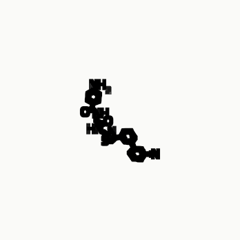 N#Cc1cccc(-c2cccc(-c3csc(NC(=O)CNC(=O)c4ccc(N)cc4)n3)c2)c1